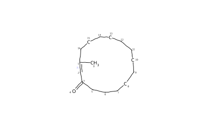 C/C1=C\C(=O)CCCCCCCCCCCC1